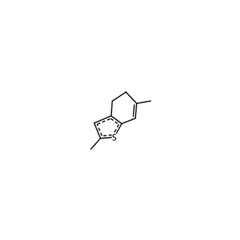 CC1=Cc2sc(C)cc2CC1